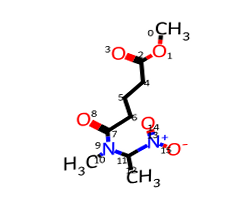 COC(=O)CCCC(=O)N(C)C(C)[N+](=O)[O-]